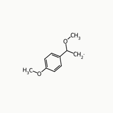 [CH2]C(OC)c1ccc(OC)cc1